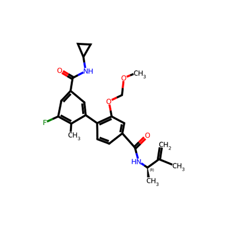 C=C(C)[C@@H](C)NC(=O)c1ccc(-c2cc(C(=O)NC3CC3)cc(F)c2C)c(OCOC)c1